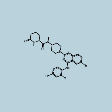 CN(C(=O)C1CCCC(=O)N1)C1CCN(c2nc(Nc3ccc(Cl)cc3F)c3cc(Br)ccc3n2)CC1